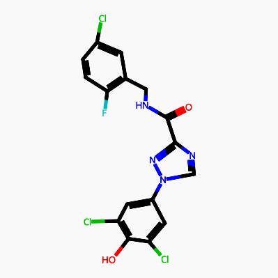 O=C(NCc1cc(Cl)ccc1F)c1ncn(-c2cc(Cl)c(O)c(Cl)c2)n1